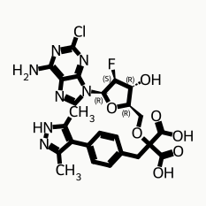 Cc1n[nH]c(C)c1-c1ccc(CC(OC[C@H]2O[C@@H](n3cnc4c(N)nc(Cl)nc43)[C@@H](F)[C@@H]2O)(C(=O)O)C(=O)O)cc1